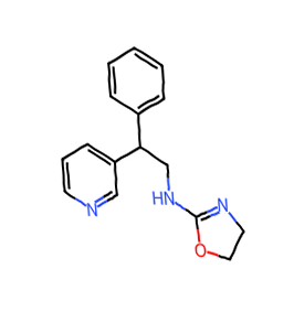 c1ccc(C(CNC2=NCCO2)c2cccnc2)cc1